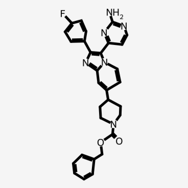 Nc1nccc(-c2c(-c3ccc(F)cc3)nc3cc(C4CCN(C(=O)OCc5ccccc5)CC4)ccn23)n1